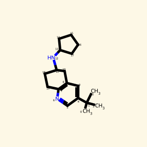 CC(C)(C)c1cnc2c(c1)CC(NC1CCCC1)CC2